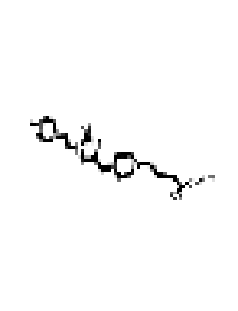 COC(=O)CCCN1CCN(CC2CN(CCN3CCN(C)CC3)C(=O)O2)CC1